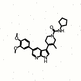 COc1ccc(-c2cnc3[nH]cc(C4=C(C)CN(C(=O)NC5CCCC5)CC4)c3c2)cc1OC